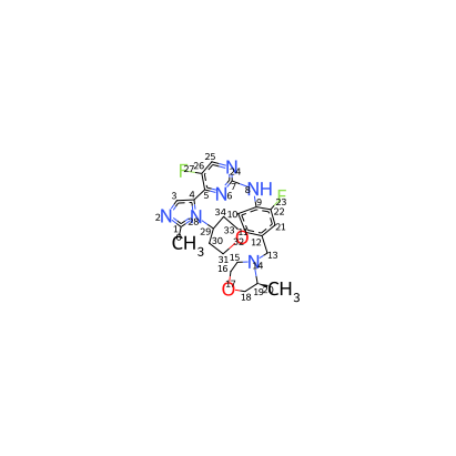 Cc1ncc(-c2nc(Nc3ccc(CN4CCOC[C@@H]4C)cc3F)ncc2F)n1C1CCOCC1